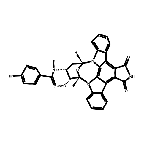 CO[C@@H]1[C@H](N(C)C(=O)c2ccc(Br)cc2)C[C@H]2O[C@]1(C)n1c3ccccc3c3c4c(c5c6ccccc6n2c5c31)C(=O)NC4=O